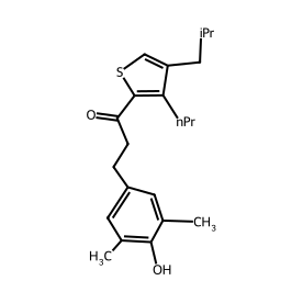 CCCc1c(CC(C)C)csc1C(=O)CCc1cc(C)c(O)c(C)c1